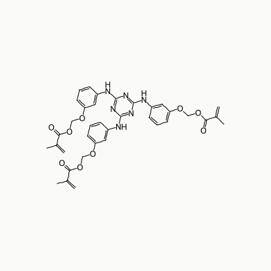 C=C(C)C(=O)OCOc1cccc(Nc2nc(Nc3cccc(OCOC(=O)C(=C)C)c3)nc(Nc3cccc(OCOC(=O)C(=C)C)c3)n2)c1